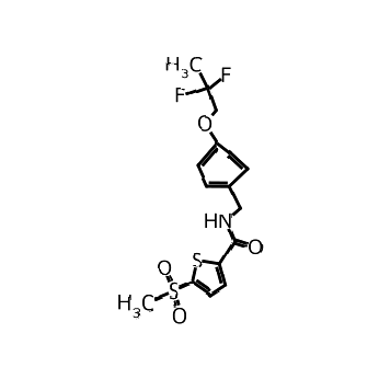 CC(F)(F)COc1ccc(CNC(=O)c2ccc(S(C)(=O)=O)s2)cc1